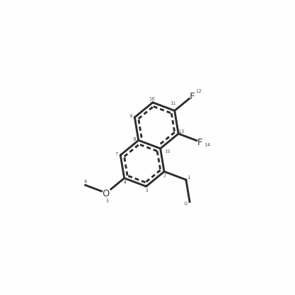 CCc1cc(OC)cc2ccc(F)c(F)c12